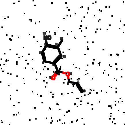 C=CCOC(=O)c1ccc(N=O)c(C)c1